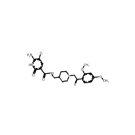 COc1ccc(C(=O)CN2CCC(CNC(=O)c3cc(Cl)c(N)[nH]c3=O)CC2)c(OC)c1